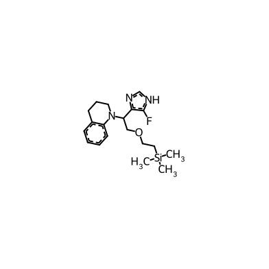 C[Si](C)(C)CCOCC(c1nc[nH]c1F)N1CCCc2ccccc21